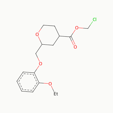 CCOc1ccccc1OCC1CC(C(=O)OCCl)CCO1